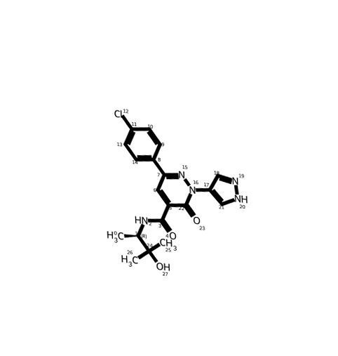 C[C@@H](NC(=O)c1cc(-c2ccc(Cl)cc2)nn(-c2cn[nH]c2)c1=O)C(C)(C)O